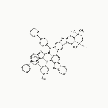 CC(C)(C)c1ccc(N2c3c(oc4ccc(-c5ccccc5)cc34)B3c4c(cc5c(oc6ccccc65)c42)-c2cc4c(cc2N3c2ccc(-c3ccccc3)cc2)sc2cc3c(cc24)C(C)(C)CCC3(C)C)c(-c2ccccc2)c1